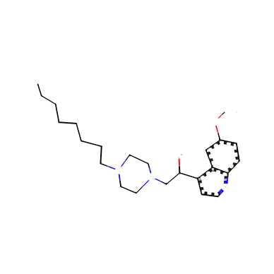 CCCCCCCCN1CCN(CC(O)c2ccnc3ccc(OC)cc23)CC1